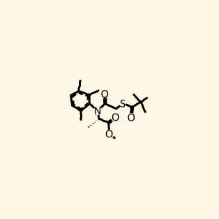 COC(=O)[C@H](C)N(C(=O)CSC(=O)C(C)(C)C)c1c(C)ccc(C)c1C